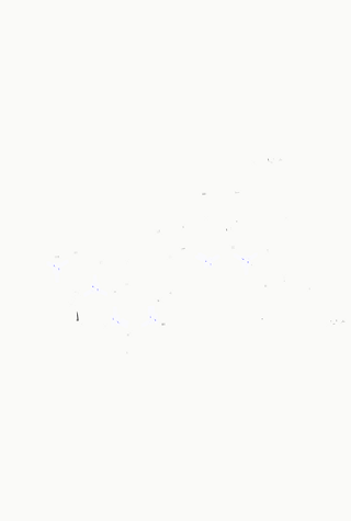 COc1ccc(CN(Cc2ccc(OC)cc2)c2cc(C)cc(-c3c(F)cc4c(N5CCN(C(=O)O)C[C@@H]5C)nc(F)nc4c3F)n2)cc1